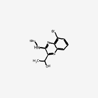 CC(O)c1nc2cccc(Br)c2nc1NC(C)(C)C